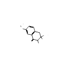 COc1ccc2c(c1)C(=O)C(Cl)C(C)(C)C2